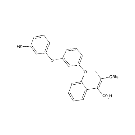 COC(C)=C(C(=O)O)c1ccccc1Oc1cccc(Oc2cccc(C#N)c2)c1